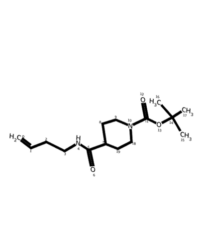 C=CCCNC(=O)C1CCN(C(=O)OC(C)(C)C)CC1